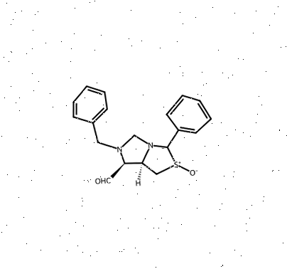 O=C[C@@H]1[C@@H]2C[S+]([O-])C(c3ccccc3)N2CN1Cc1ccccc1